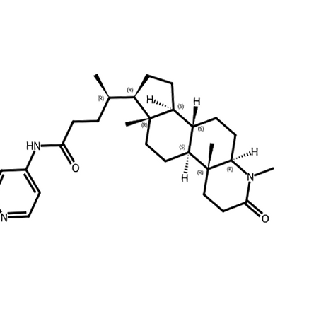 C[C@H](CCC(=O)Nc1ccncc1)[C@H]1CC[C@H]2[C@@H]3CC[C@H]4N(C)C(=O)CC[C@]4(C)[C@H]3CC[C@]12C